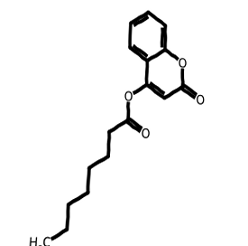 CCCCCCCC(=O)Oc1cc(=O)oc2ccccc12